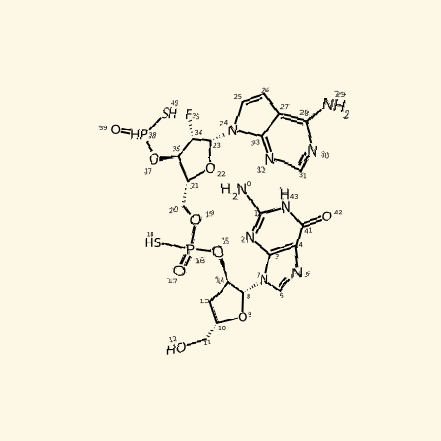 Nc1nc2c(ncn2[C@@H]2O[C@H](CO)C[C@H]2OP(=O)(S)OC[C@H]2O[C@@H](n3ccc4c(N)ncnc43)[C@@H](F)[C@@H]2O[PH](=O)S)c(=O)[nH]1